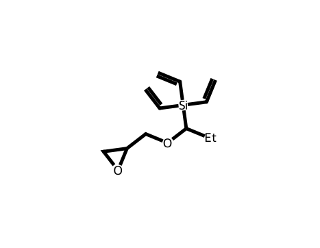 C=C[Si](C=C)(C=C)C(CC)OCC1CO1